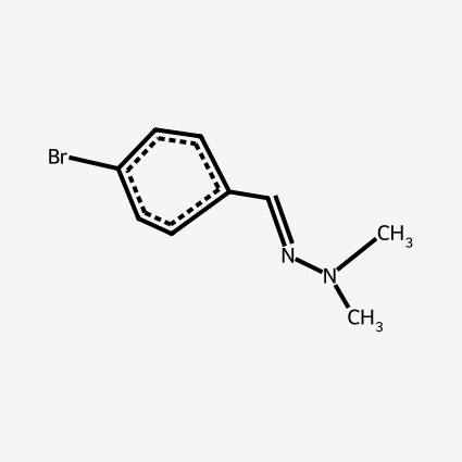 CN(C)N=Cc1ccc(Br)cc1